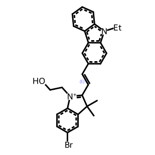 CCn1c2ccccc2c2cc(/C=C/C3=[N+](CCO)c4ccc(Br)cc4C3(C)C)ccc21